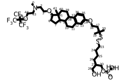 CN(CCOC1CCC2C3CCc4cc(OCCC(C)(C)SSCCCCC(CO)CO[PH](=O)O)ccc4C3CCC12C)CCOC(C(F)(F)F)(C(F)(F)F)C(F)(F)F